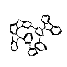 C1=c2oc3ccc4c5ccccc5n(-c5cccc(-c6ccccc6)c5)c4c3c2=CC(c2nc(-c3ccccc3)nc(-n3c4ccccc4c4ccccc43)n2)C1